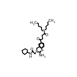 CCCCCN(CCCCC)C(=O)CCC(=O)c1ccc2c(c1)CN(CC(=O)NC1CCCCC1)C(N)=N2